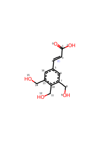 O=C(O)/C=C/c1cc(CO)c(CO)c(CO)c1